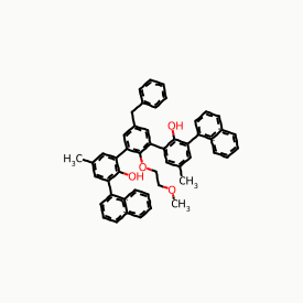 COCCOc1c(-c2cc(C)cc(-c3cccc4ccccc34)c2O)cc(Cc2ccccc2)cc1-c1cc(C)cc(-c2cccc3ccccc23)c1O